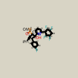 CO[PH](=O)C(C#CC(C)C)(C(=O)O)C(O)(Cc1ccc(F)cc1)c1cccc(-c2c(F)c(F)cc(F)c2F)n1